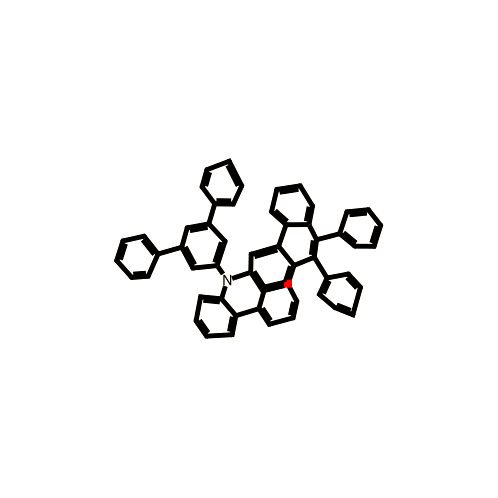 c1ccc(-c2cc(-c3ccccc3)cc(N(c3ccc4c(-c5ccccc5)c(-c5ccccc5)c5ccccc5c4c3)c3ccccc3-c3ccccc3)c2)cc1